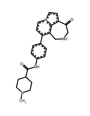 CN1CCC(C(=O)Nc2ccc(-c3ccn4ccc5c4c3CNCC5=O)cc2)CC1